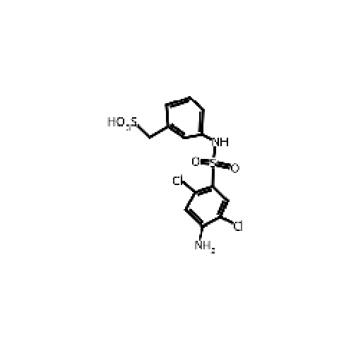 Nc1cc(Cl)c(S(=O)(=O)Nc2cccc(CS(=O)(=O)O)c2)cc1Cl